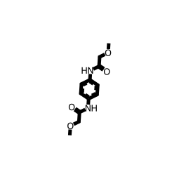 COCC(=O)Nc1ccc(NC(=O)COC)cc1